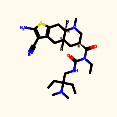 CCN(C(=O)NCC(CC)(CC)N(C)C)C(=O)[C@@H]1C[C@@H]2Cc3c(sc(N)c3C#N)C[C@H]2N(C)C1